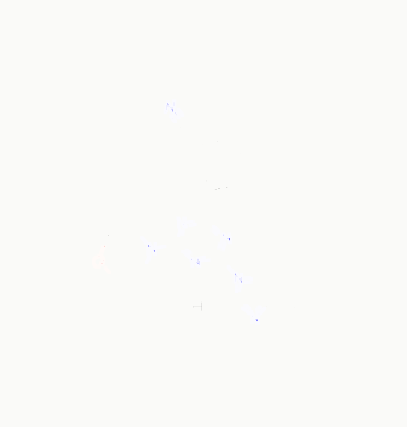 Cc1nc2ccccc2n1-c1nc(-c2cccc(C#N)c2)nc(N2CCOCC2)n1